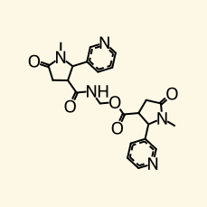 CN1C(=O)CC(C(=O)NCOC(=O)C2CC(=O)N(C)C2c2cccnc2)C1c1cccnc1